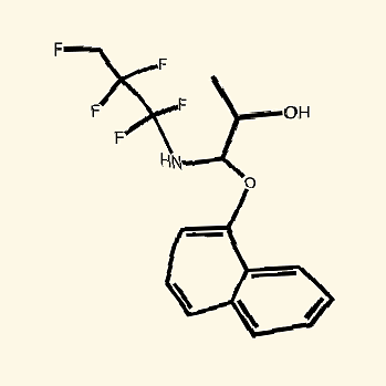 CC(O)C(NC(F)(F)C(F)(F)CF)Oc1cccc2ccccc12